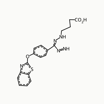 N=N/C(=N\NCCCC(=O)O)c1ccc(Oc2nc3ccccc3s2)cc1